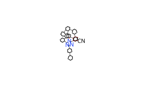 N#Cc1ccc(-c2cccc(-c3ccccc3-c3nc(-c4ccccc4)nc(-c4ccc(-c5ccccc5)cc4)n3)c2)c(-c2cccc(-c3cccc4c3-c3cccc5cccc-4c35)c2)c1